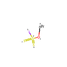 CCCOS(=S)(=S)I